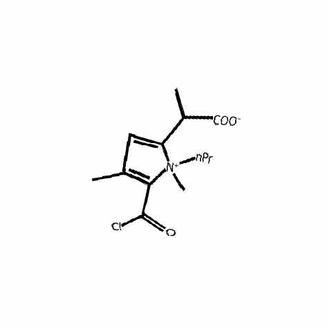 CCC[N+]1(C)C(C(C)C(=O)[O-])=CC(C)=C1C(=O)Cl